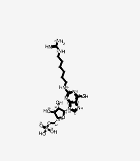 N=C(N)NCCCCCCNc1nc(S)c2ncn([C@@H]3O[C@H](COP(=O)(O)O)C(O)[C@@H]3O)c2n1